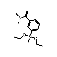 C=C(c1cccc([Si](C)(OCC)OCC)c1)[SiH](C)C